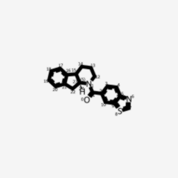 O=C(c1ccc2ncsc2c1)N1CCCC2c3ccccc3C[C@@H]21